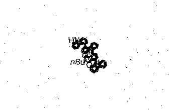 CCCCN1C(=O)c2c(-n3c4ccccc4c4ccccc43)ccc(-n3c4ccccc4c4c(-c5cccc6[nH]c7ccccc7c56)cccc43)c2C1=O